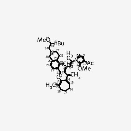 C=C(/C=C\C=C(/C)n1ncc(C(C)=O)c1OC)C1=CCCCC(C)=C1OCc1ccc2c(c1C)CCN(C[C@H](CCCC)OC)C2